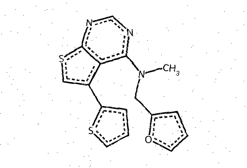 CN(Cc1ccco1)c1ncnc2scc(-c3cccs3)c12